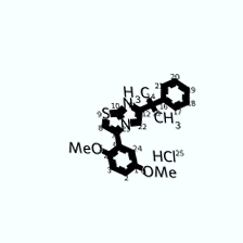 COc1ccc(OC)c(-c2csc3nc(C(C)(C)c4ccccc4)cn23)c1.Cl